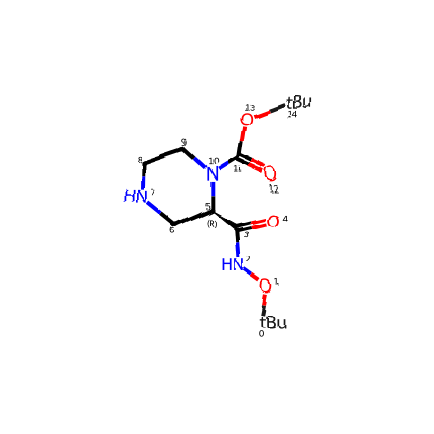 CC(C)(C)ONC(=O)[C@H]1CNCCN1C(=O)OC(C)(C)C